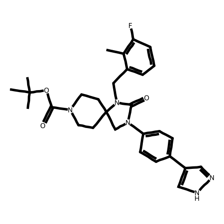 Cc1c(F)cccc1CN1C(=O)N(c2ccc(-c3cn[nH]c3)cc2)CC12CCN(C(=O)OC(C)(C)C)CC2